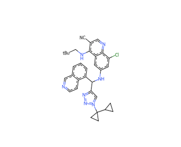 CC(C)(C)CNc1c(C#N)cnc2c(Cl)cc(NC(c3cn(C4(C5CC5)CC4)nn3)c3cccc4cnccc34)cc12